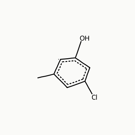 Cc1[c]c(O)cc(Cl)c1